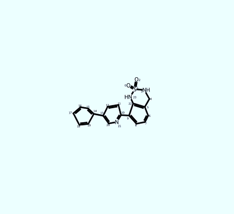 O=S1(=O)NCc2cccc(-c3ccc(-c4ccccc4)cn3)c2N1